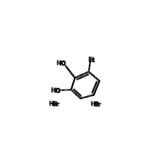 Br.Br.CCc1cccc(O)c1O